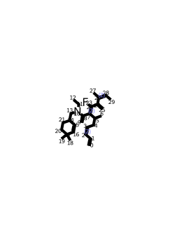 C=C/C=C\CC(C)/C(C(=C)N(CC)CC1C=CC(C)(C)CC1)=C(/F)C(=C)/C(C)=C\C